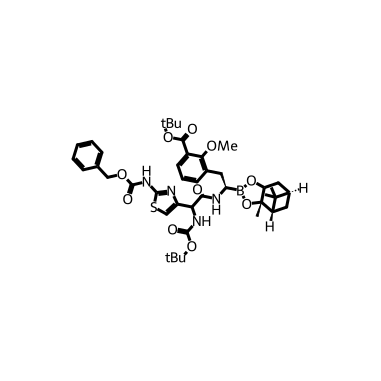 COc1c(C[C@H](NC(=O)C(NC(=O)OC(C)(C)C)c2csc(NC(=O)OCc3ccccc3)n2)B2OC3C[C@H]4C[C@@H](C4(C)C)[C@]3(C)O2)cccc1C(=O)OC(C)(C)C